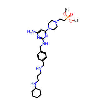 CCOP(=O)(CCN1CCN(c2cc(N)nc(NCc3ccc(CNCCCNC4CCCCC4)cc3)n2)CC1)OCC